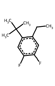 CCc1cc(F)c(F)cc1C(C)(C)C